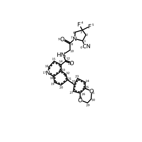 N#CC1CC(F)(F)CN1C(=O)CNC(=O)c1ccnc2ccc(-c3ccc4c(c3)OCCO4)cc12